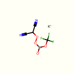 N#CC(C#N)OOB([O-])OC(F)(F)F.[K+]